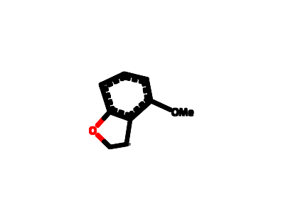 COc1cccc2c1[CH]CO2